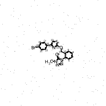 Cn1nnn(-c2ccccc2COc2nc(-c3ccc(Br)cc3)cs2)c1=O